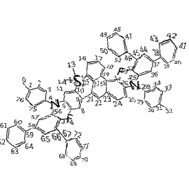 Cc1ccc(N(c2ccc3c(c2)[Si](C)(C)c2cccc4c2c-3cc2ccc(N(c3ccc(C)cc3)c3cc(-c5ccccc5)cc(-c5ccccc5)c3F)cc24)c2cc(-c3ccccc3)cc(-c3ccccc3)c2F)cc1